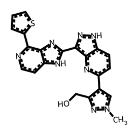 Cn1cc(-c2ccc3[nH]nc(-c4nc5c(-c6cccs6)nccc5[nH]4)c3n2)c(CO)n1